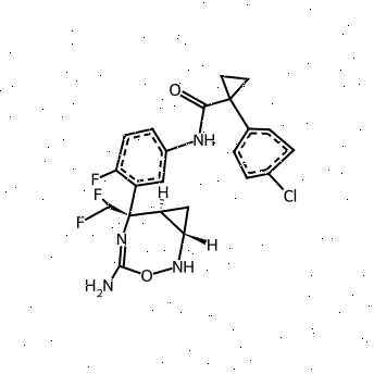 NC1=N[C@@](c2cc(NC(=O)C3(c4ccc(Cl)cc4)CC3)ccc2F)(C(F)F)[C@H]2C[C@@H]2NO1